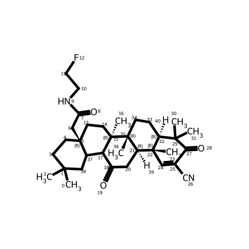 CC1(C)CC[C@]2(CC(=O)NCCF)CC[C@]3(C)C(C(=O)C[C@@H]4[C@@]5(C)C=C(C#N)C(=O)C(C)(C)[C@@H]5CC[C@]43C)C2C1